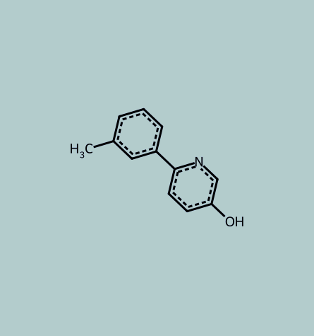 Cc1cccc(-c2ccc(O)cn2)c1